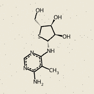 Cc1c(N)ncnc1N[C@@H]1S[C@H](CO)[C@@H](O)[C@H]1O